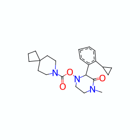 CN1CCN(OC(=O)N2CCC3(CCC3)CC2)C(c2ccccc2C2CC2)C1=O